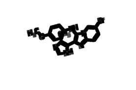 COc1ccc(Nc2c(-c3[nH]cnc3C)nc3ccc(Br)cn23)cc1